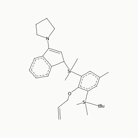 C=CCOc1c([Si](C)(C)C2C=C(N3CCCC3)c3ccccc32)cc(C)cc1[Si](C)(C)C(C)(C)C